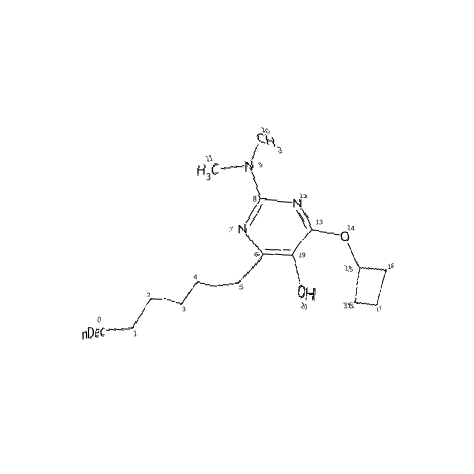 CCCCCCCCCCCCCCCc1nc(N(C)C)nc(OC2CCC2)c1O